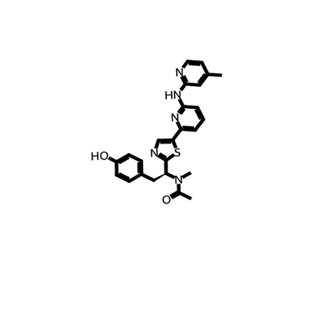 CC(=O)N(C)[C@@H](Cc1ccc(O)cc1)c1ncc(-c2cccc(Nc3cc(C)ccn3)n2)s1